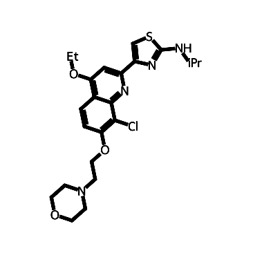 CCOc1cc(-c2csc(NC(C)C)n2)nc2c(Cl)c(OCCN3CCOCC3)ccc12